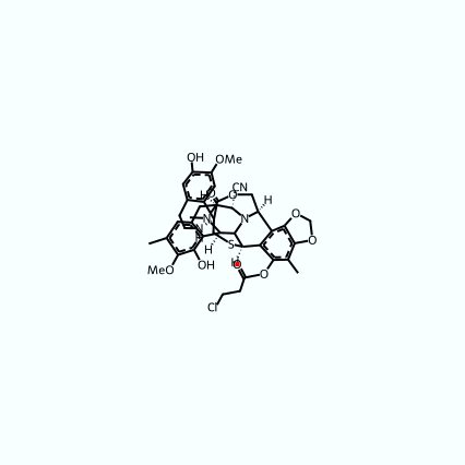 COc1cc2c(cc1O)CCN[C@]21CS[C@@H]2c3c(OC(=O)CCCl)c(C)c4c(c3[C@H](COC1=O)N1C2[C@H]2c3c(cc(C)c(OC)c3O)C[C@@H]([C@@H]1C#N)N2C)OCO4